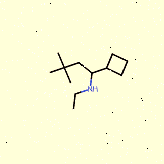 CCNC(CC(C)(C)C)C1CCC1